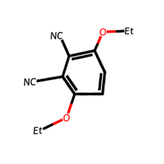 CCOc1ccc(OCC)c(C#N)c1C#N